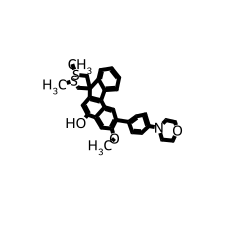 COc1cc2c(O)cc3c(c2cc1-c1ccc(N2CCOCC2)cc1)-c1ccccc1C3(CSC)CSC